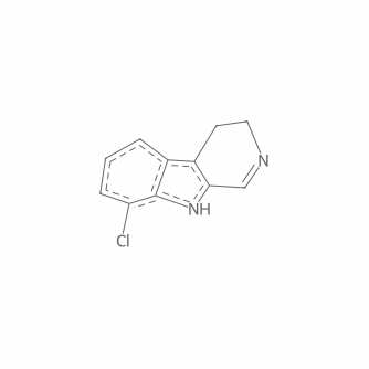 Clc1cccc2c3c([nH]c12)C=NCC3